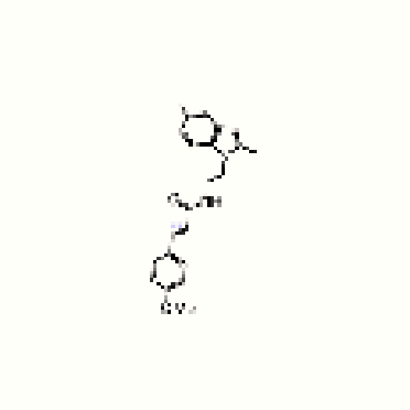 COc1ccc(/C=C/C(=O)NCCn2c(C)cc3cc(F)ccc32)cc1